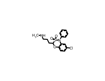 CNCCCC1Oc2ccc(Cl)cc2N(c2ccccc2)S1(=O)=O